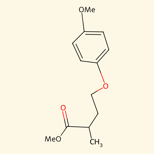 COC(=O)C(C)CCOc1ccc(OC)cc1